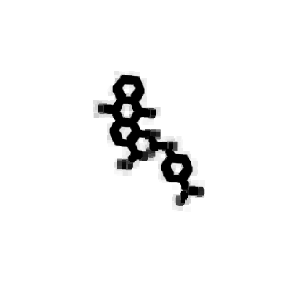 O=C(Nc1ccc([N+](=O)[O-])cc1)Nc1c(C(=O)O)ccc2c1C(=O)c1ccccc1C2=O